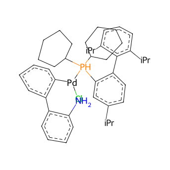 CC(C)c1ccc(-c2c(C(C)C)cccc2C(C)C)c([PH](C2CCCCC2)(C2CCCCC2)[Pd]([Cl])[c]2ccccc2-c2ccccc2N)c1